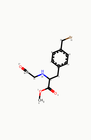 COC(=O)C(Cc1ccc(CBr)cc1)NCB=O